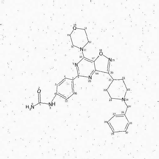 NC(=O)Nc1ccc(-c2nc(N3CCOCC3)c3onc(C4CCN(Cc5ccccc5)CC4)c3n2)cc1